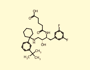 CC(C)(C)c1cccc(C2(NC[C@@H](O)[C@H](Cc3cc(F)cc(F)c3)NC(=O)CCCC(=O)O)CCCCC2)c1